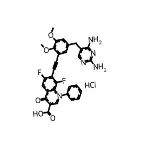 COc1cc(Cc2cnc(N)nc2N)cc(C#Cc2c(F)cc3c(=O)c(C(=O)O)cn(-c4ccccc4)c3c2F)c1OC.Cl